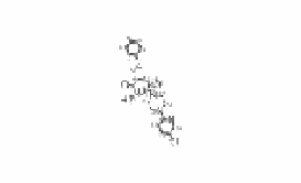 O=C(NO)[C@H](CSc1ccccc1)NS(=O)(=O)N1CCN(c2ccc(Cl)cn2)CC1